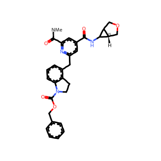 CNC(=O)c1cc(C(=O)NC2C3COC[C@@H]32)cc(Cc2cccc3c2CCN3C(=O)OCc2ccccc2)n1